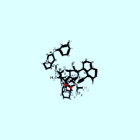 CC(C)[Si](C#Cc1c(F)ccc2cccc(-c3ncc4c(N5CC6CCC(C5)N6C(=O)OC(C)(C)C)nc(OC[C@]56CCCN5C[C@H](Oc5cccc(I)c5)C6)nc4c3F)c12)(C(C)C)C(C)C